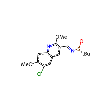 COc1cc2nc(OC)c(/C=N/[S@+]([O-])C(C)(C)C)cc2cc1Cl